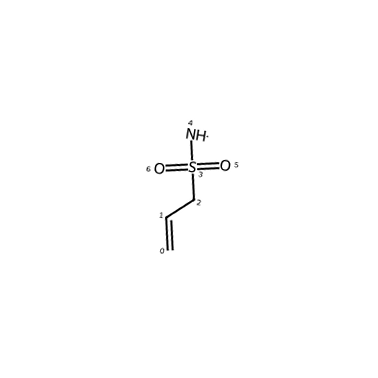 C=CCS([NH])(=O)=O